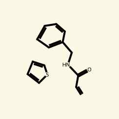 C=CC(=O)NCc1ccccc1.c1ccsc1